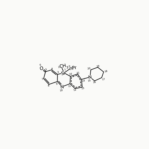 CCC[Si]1(C)C2=CC(=O)C=CC2=Nc2ccc(N3CCCCC3)cc21